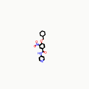 O=C(Nc1ccncc1)c1ccc(OCC2CCCCC2)c([N+](=O)[O-])c1